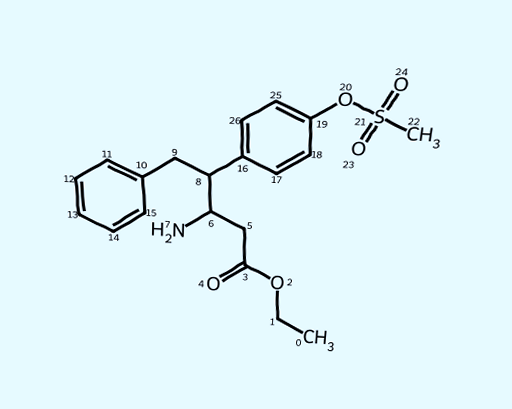 CCOC(=O)CC(N)C(Cc1ccccc1)c1ccc(OS(C)(=O)=O)cc1